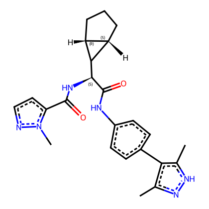 Cc1n[nH]c(C)c1-c1ccc(NC(=O)[C@@H](NC(=O)c2ccnn2C)C2[C@H]3CCC[C@@H]23)cc1